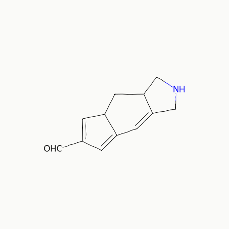 O=CC1=CC2CC3CNCC3=CC2=C1